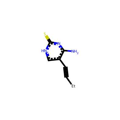 CCC#Cc1c[nH]c(=S)nc1N